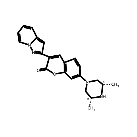 C[C@@H]1CN(c2ccc3cc(-c4cc5ccccn5n4)c(=O)oc3c2)C[C@H](C)N1